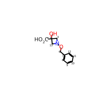 O=C(O)C1(O)CN(OCc2ccccc2)C1